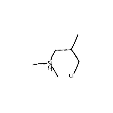 CC(CCl)C[SiH](C)C